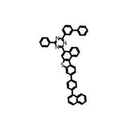 c1ccc(-c2cccc(-c3nc(-c4ccccc4)nc(-c4cc5sc6cc(-c7ccc(-c8cccc9ccccc89)cc7)ccc6c5c5ccccc45)n3)c2)cc1